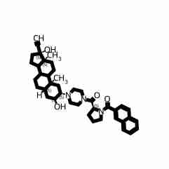 C#C[C@]1(O)CCC2C3CC[C@H]4C[C@H](O)[C@@H](N5CCN(C(=O)[C@@H]6CCCN6C(=O)c6ccc7ccccc7c6)CC5)C[C@]4(C)C3CC[C@@]21C